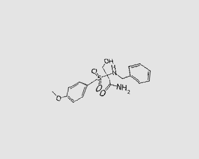 COc1ccc(S(=O)(=O)C(CO)(NCc2ccccc2)C(N)=O)cc1